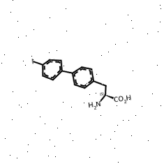 N[C@@H](Cc1ccc(-c2ccc(I)cc2)cc1)C(=O)O